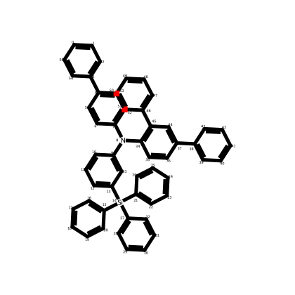 c1ccc(-c2ccc(N(c3cccc([Si](c4ccccc4)(c4ccccc4)c4ccccc4)c3)c3ccc(-c4ccccc4)cc3-c3ccccc3)cc2)cc1